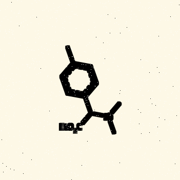 CCOC(=O)[CH](c1ccc(C)cc1)[Sb]([CH3])[CH3]